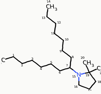 CCCCCCCC(CCCCCCC)N1CCCC1(C)C